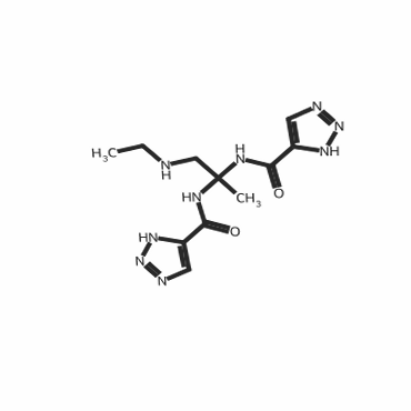 CCNCC(C)(NC(=O)c1cnn[nH]1)NC(=O)c1cnn[nH]1